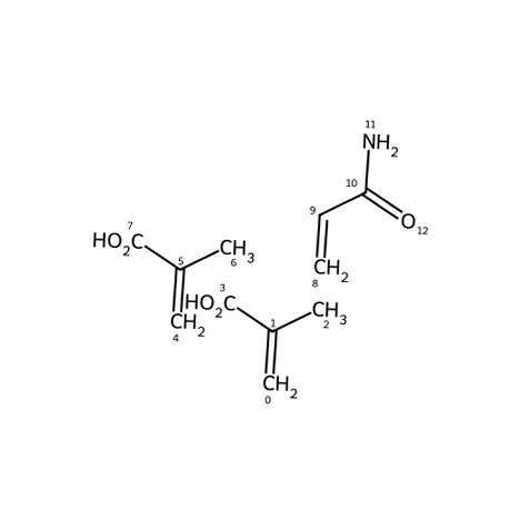 C=C(C)C(=O)O.C=C(C)C(=O)O.C=CC(N)=O